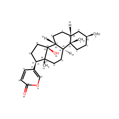 CC(=O)O[C@H]1CC[C@@]2(C)[C@H](CC[C@@H]3[C@@H]2CC[C@]2(C)[C@@H](c4ccc(=O)oc4)CC[C@]32O)C1